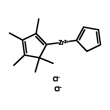 CC1=C(C)C(C)(C)[C]([Zr+2][C]2=CC=CC2)=C1C.[Cl-].[Cl-]